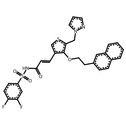 O=C(/C=C/c1csc(Cn2cccn2)c1OCCc1ccc2ccccc2c1)NS(=O)(=O)c1ccc(F)c(F)c1